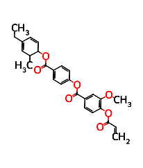 C=CC(=O)Oc1ccc(C(=O)Oc2ccc(C(=O)OC3C=CC(CC)=CC3C)cc2)cc1OC